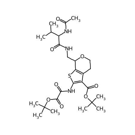 CC(=O)NC(C(=O)NCC1OCCc2c1sc(NC(=O)C(=O)OC(C)(C)C)c2C(=O)OC(C)(C)C)C(C)C